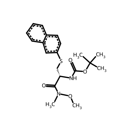 CON(C)C(=O)[C@H](CSc1ccc2ccccc2c1)NC(=O)OC(C)(C)C